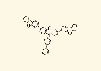 c1ccc(-c2ccc(N3c4ccc(-c5ccc6c(c5)oc5ccccc56)cc4Oc4cc(-c5ccc6c(c5)oc5ccccc56)ccc43)cc2)cc1